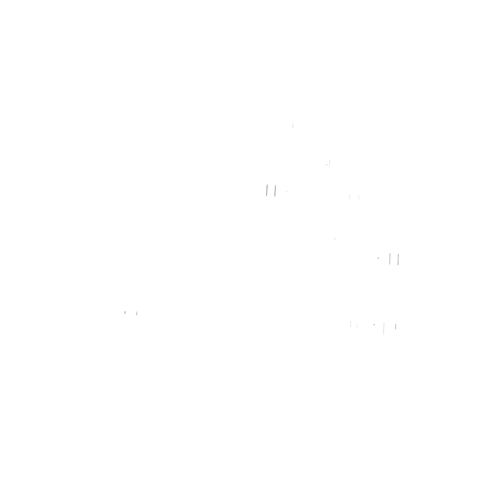 CCCCCCCC(c1ccc(C(=O)O)cc1)[Si](C)(C)O[Si](C)(C)C